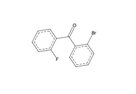 O=C(c1ccccc1F)c1ccccc1Br